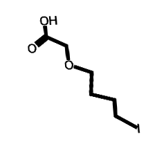 O=C(O)COCCCCI